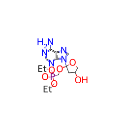 CCOP(=O)(CO[C@]1(n2cnc3c(N)ncnc32)C[C@H](O)CO1)OCC